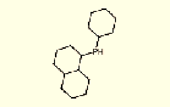 C1CCC(PC2CCCC3CCCCC32)CC1